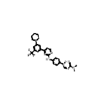 C=C(/N=C\N(N)c1ccc(Nc2nccc(-c3cc(N4CCCCC4)cc(C(F)(F)F)c3)n2)cc1)N(C)C